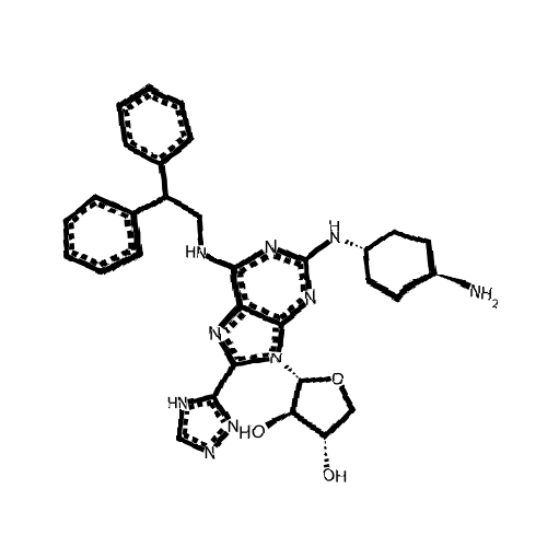 N[C@H]1CC[C@H](Nc2nc(NCC(c3ccccc3)c3ccccc3)c3nc(-c4nnc[nH]4)n([C@@H]4OC[C@H](O)[C@H]4O)c3n2)CC1